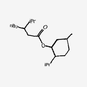 CCCCC(CC(=O)OC1CC(C)CCC1C(C)C)C(C)C